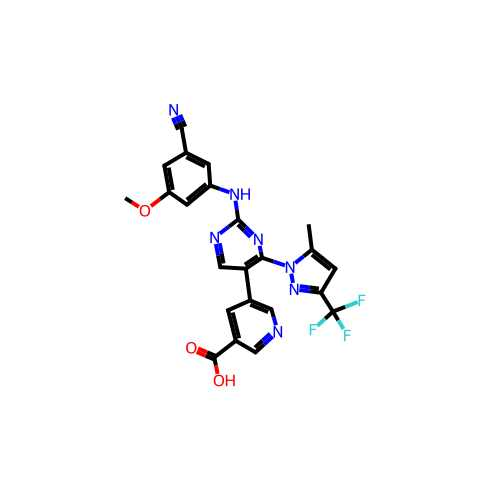 COc1cc(C#N)cc(Nc2ncc(-c3cncc(C(=O)O)c3)c(-n3nc(C(F)(F)F)cc3C)n2)c1